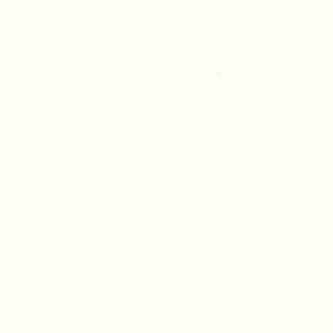 COC(=O)c1cccc(C(=O)Oc2c(C)cc3c(c2C)C2(CCc4cc(C)c(C)c(C)c42)CC3)c1